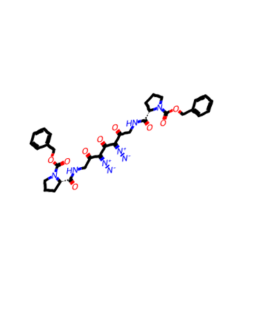 [N-]=[N+]=C(C(=O)CNC(=O)[C@@H]1CCCN1C(=O)OCc1ccccc1)C(=O)C(=[N+]=[N-])C(=O)CNC(=O)[C@@H]1CCCN1C(=O)OCc1ccccc1